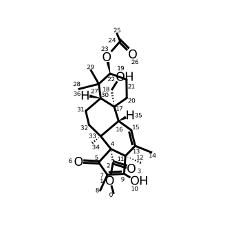 COC(=O)[C@@]12C(=O)C(C)=C(O)[C@]1(C)C(C)=C[C@H]1[C@]3(CO)CC[C@H](OC(C)=O)C(C)(C)[C@H]3CC[C@@]12C